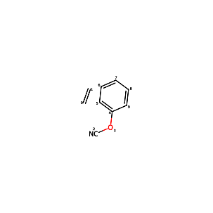 C=C.N#COc1ccccc1